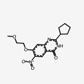 COCCOc1cc2nc(C3CCCC3)[nH]c(=O)c2cc1[N+](=O)[O-]